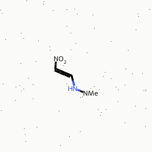 CNNC=C[N+](=O)[O-]